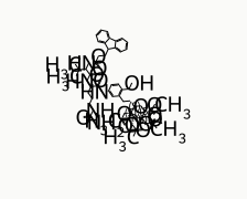 COC(=O)[C@H]1O[C@@H](CCc2cc(NC(=O)C(CCCNC(N)=O)NC(=O)C(NC(=O)OCC3c4ccccc4-c4ccccc43)C(C)C)ccc2CO)[C@H](OC(C)=O)[C@@H](OC(C)=O)[C@@H]1OC(C)=O